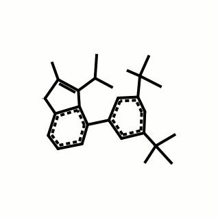 CC1=C(C(C)C)c2c(cccc2-c2cc(C(C)(C)C)cc(C(C)(C)C)c2)[CH]1